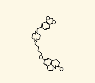 O=C1CCc2cc(OCCCCN3CCN(Cc4ccc5c(c4)OCO5)CC3)cc3c2N1CC3